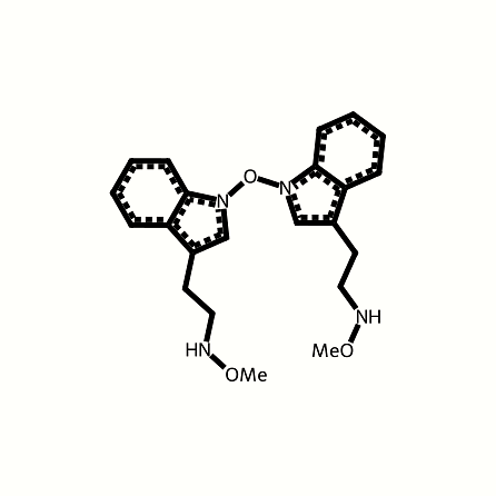 CONCCc1cn(On2cc(CCNOC)c3ccccc32)c2ccccc12